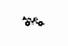 O=C(c1cncn1Cc1ccc(F)cc1)N1CCN(C2CC2)c2ccccc21